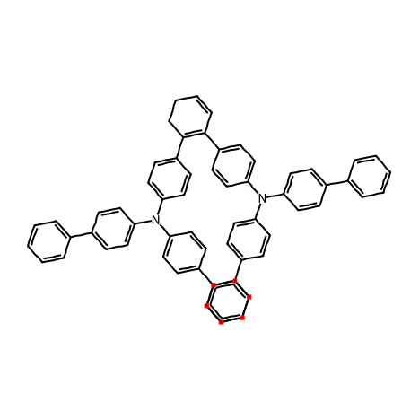 C1=CC(c2ccc(N(c3ccc(C4=C(c5ccc(N(c6ccc(-c7ccccc7)cc6)c6ccc(-c7ccccc7)cc6)cc5)C=CCC4)cc3)c3ccc(-c4ccccc4)cc3)cc2)=CCC1